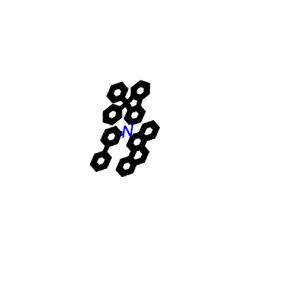 c1ccc(-c2cccc(N(c3ccc4c(c3)C(c3ccccc3)(c3ccccc3)c3ccccc3-4)c3cc4c5ccccc5ccc4c4ccccc34)c2)cc1